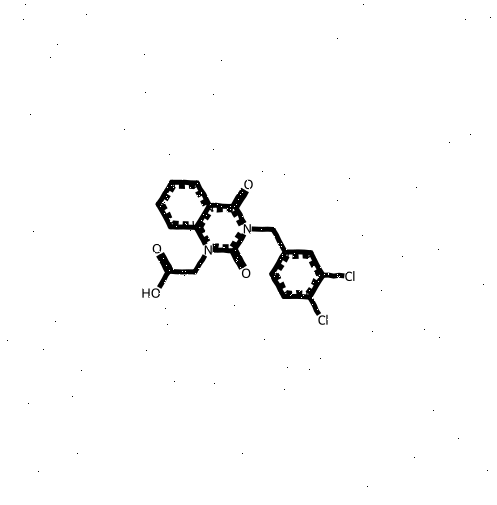 O=C(O)Cn1c(=O)n(Cc2ccc(Cl)c(Cl)c2)c(=O)c2ccccc21